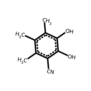 Cc1c(C)c(O)c(O)c(C#N)c1C